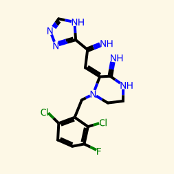 N=C1NCCN(Cc2c(Cl)ccc(F)c2Cl)/C1=C/C(=N)c1nnc[nH]1